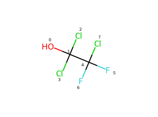 OC(Cl)(Cl)C(F)(F)Cl